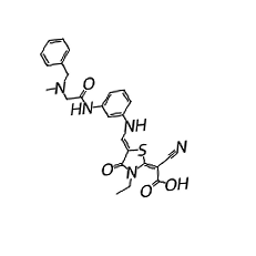 CCn1c(=C(C#N)C(=O)O)sc(=CNc2cccc(NC(=O)CN(C)Cc3ccccc3)c2)c1=O